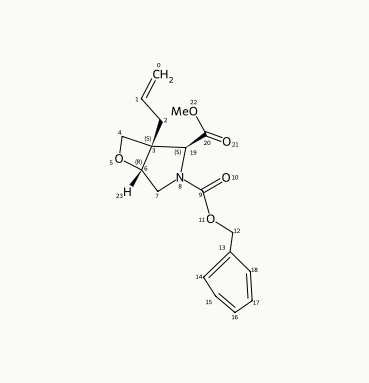 C=CC[C@]12CO[C@H]1CN(C(=O)OCc1ccccc1)[C@@H]2C(=O)OC